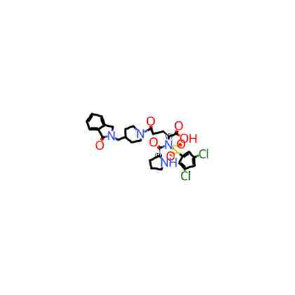 O=C(O)[C@H](CCC(=O)N1CCC(CN2Cc3ccccc3C2=O)CC1)N(C(=O)[C@H]1CCCN1)S(=O)(=O)c1cc(Cl)cc(Cl)c1